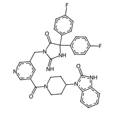 N=C1NC(c2ccc(F)cc2)(c2ccc(F)cc2)C(=O)N1Cc1cncc(C(=O)N2CCC(n3c(=O)[nH]c4ccccc43)CC2)c1